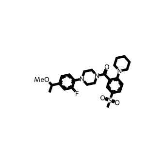 COC(C)c1ccc(N2CCN(C(=O)c3cc(S(C)(=O)=O)ccc3N3CCCCC3)CC2)c(F)c1